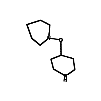 C1CCN(OC2CCNCC2)CC1